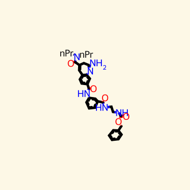 CCCN(CCC)C(=O)C1=Cc2ccc(C(=O)Nc3cccc(C(=O)NCCNC(=O)OCc4ccccc4)c3)cc2N=C(N)C1